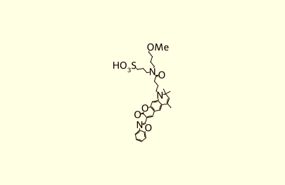 COCCCCN(CCCS(=O)(=O)O)C(=O)CCCN1c2cc3oc(=O)c(-c4nc5ccccc5o4)cc3cc2C(C)=CC1(C)C